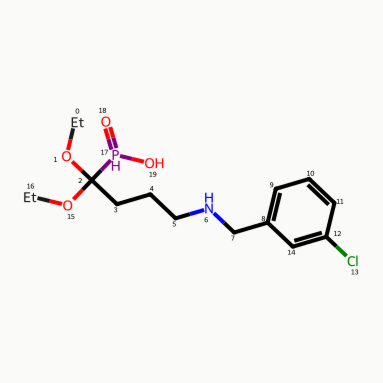 CCOC(CCCNCc1cccc(Cl)c1)(OCC)[PH](=O)O